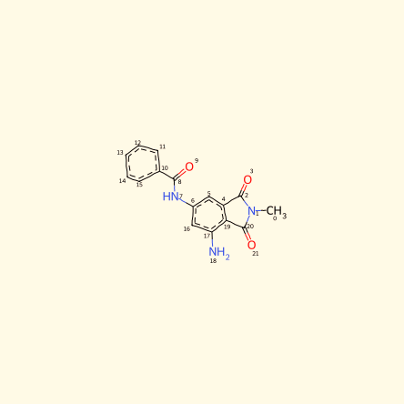 CN1C(=O)c2cc(NC(=O)c3ccccc3)cc(N)c2C1=O